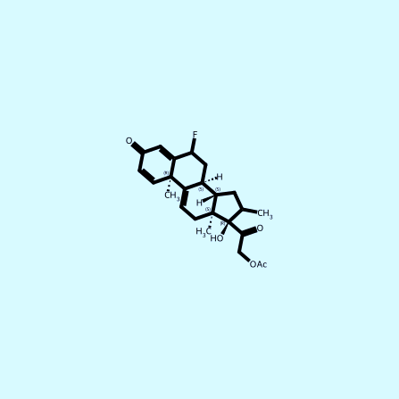 CC(=O)OCC(=O)[C@@]1(O)C(C)C[C@H]2[C@@H]3CC(F)C4=CC(=O)C=C[C@]4(C)C3=CC[C@@]21C